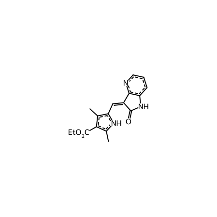 CCOC(=O)c1c(C)[nH]c(C=C2C(=O)Nc3cccnc32)c1C